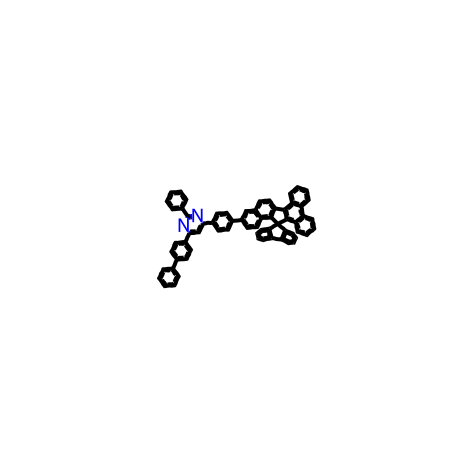 c1ccc(-c2ccc(-c3cc(-c4ccc(-c5ccc6c7c(ccc6c5)-c5c(c6ccccc6c6ccccc56)C75c6ccccc6-c6ccccc65)cc4)nc(-c4ccccc4)n3)cc2)cc1